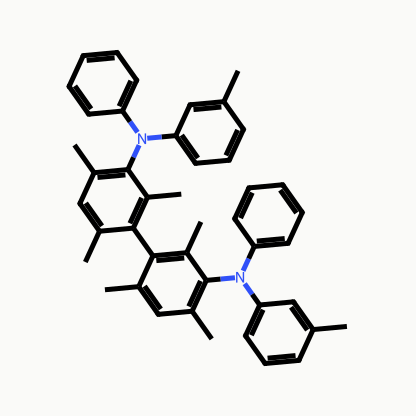 Cc1cccc(N(c2ccccc2)c2c(C)cc(C)c(-c3c(C)cc(C)c(N(c4ccccc4)c4cccc(C)c4)c3C)c2C)c1